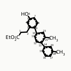 CCOC(=O)CCc1cc(O)ccc1-c1ccc(-c2cccc(C)c2)c(C)c1